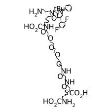 CC(C)(C)[C@H](c1cc(-c2cc(F)ccc2F)cn1Cc1ccccc1)N(CCCN)C(=O)CSC[C@H](NC(=O)CCOCCOCCOCCOCCNC(=O)CCNC(=O)CC(SCC[C@H](N)C(=O)O)C(=O)O)C(=O)O